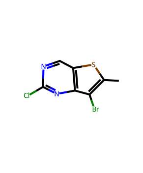 Cc1sc2cnc(Cl)nc2c1Br